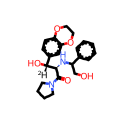 [2H][C@@](O)(c1ccc2c(c1)OCCO2)[C@H](NC(CO)c1ccccc1)C(=O)N1CCCC1